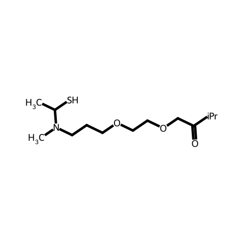 CC(C)C(=O)COCCOCCCN(C)C(C)S